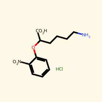 Cl.NCCCCC(Oc1ccccc1[N+](=O)[O-])C(=O)O